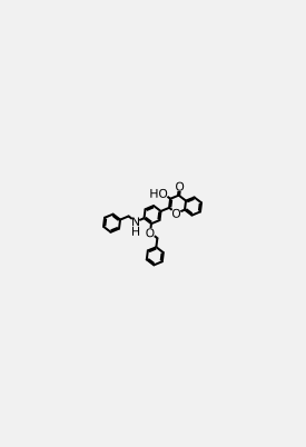 O=c1c(O)c(-c2ccc(NCc3ccccc3)c(OCc3ccccc3)c2)oc2ccccc12